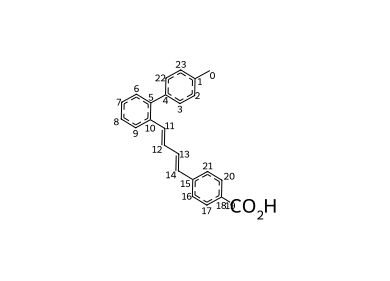 Cc1ccc(-c2ccccc2/C=C/C=C/c2ccc(C(=O)O)cc2)cc1